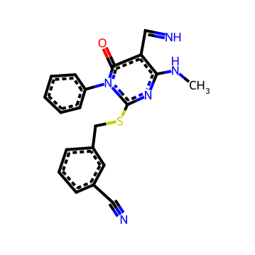 CNc1nc(SCc2cccc(C#N)c2)n(-c2ccccc2)c(=O)c1C=N